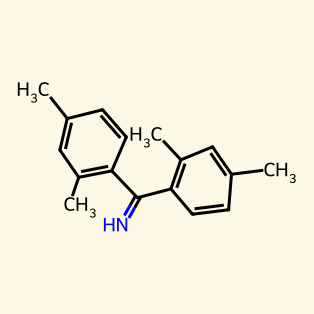 Cc1ccc(C(=N)c2ccc(C)cc2C)c(C)c1